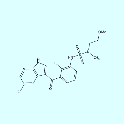 COCCN(C)S(=O)(=O)Nc1cccc(C(=O)c2c[nH]c3ncc(Cl)cc23)c1F